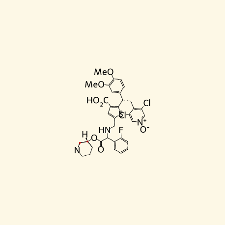 COc1ccc([C@H](Cc2c(Cl)c[n+]([O-])cc2Cl)c2sc(CNC(C(=O)O[C@H]3CN4CCC3CC4)c3ccccc3F)cc2C(=O)O)cc1OC